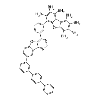 Bc1c(B)c(B)c2c(oc3c(-c4cccc(-c5ncnc6c5oc5ccc(-c7cccc(-c8ccc(-c9ccccc9)cc8)c7)cc56)c4)c(B)c(B)c(B)c32)c1B